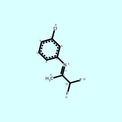 C/C(=N\c1cccc(Cl)c1)C(F)F